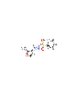 N#Cc1occc1/C=N/OS(=O)(=O)c1ccccc1